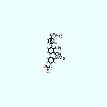 CCCCCC12CCC(c3ccc(-c4ccc(OC(=O)CC)cc4OC)c(C#N)c3C#N)(CC1)CC2